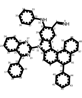 N=Cc1cc2c3c4c(ccc3n(-c3nc(-c5ccccc5)c5ccccc5n3)c2cc1Nc1ccccc1)c(-c1ccccc1)cc1ccccc14